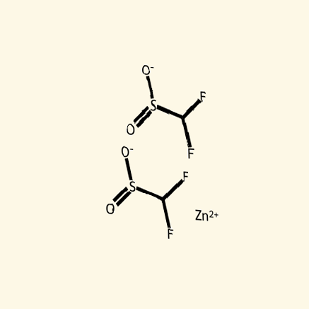 O=S([O-])C(F)F.O=S([O-])C(F)F.[Zn+2]